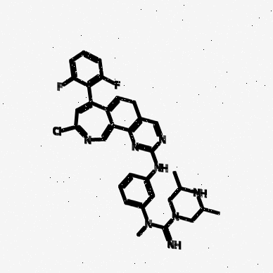 CC1CN(C(=N)N(C)c2cccc(Nc3ncc4c(n3)C3=CN=C(Cl)C=C(c5c(F)cccc5F)C3=CC4)c2)CC(C)N1